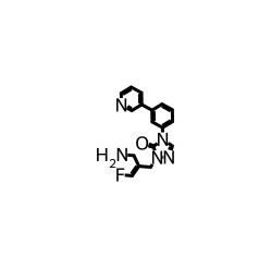 NC/C(=C\F)Cn1ncn(-c2cccc(-c3cccnc3)c2)c1=O